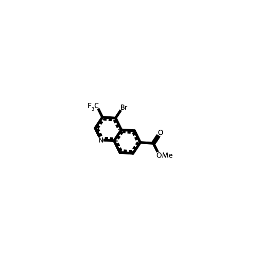 COC(=O)c1ccc2ncc(C(F)(F)F)c(Br)c2c1